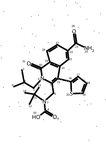 CC(C)Cn1c(CN(C(=O)O)C(C)(C)C)c(-c2cccs2)c2cc(C(N)=O)ccc2c1=O